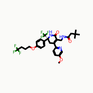 COc1ccc(C2=C(CNC(=O)CC(C)(C)C)C(=O)N[C@@](c3ccc(OCCCC(F)(F)F)cc3)(C(F)(F)F)C2)nc1